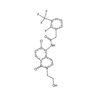 O=C(Cc1cccc(C(F)(F)F)c1F)Nc1c(Cl)ccc2c(=O)n(CCO)ccc12